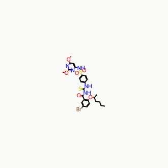 CCCCC(C)Oc1ccc(Br)cc1C(=O)NC(=S)Nc1ccc(S(=O)(=O)Nc2cc(OC)nc(OC)n2)cc1